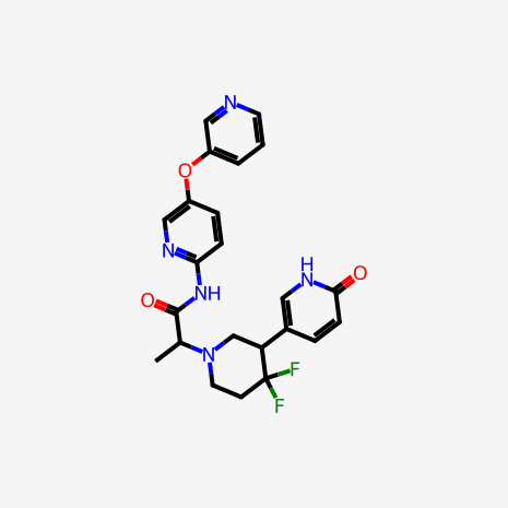 CC(C(=O)Nc1ccc(Oc2cccnc2)cn1)N1CCC(F)(F)C(c2ccc(=O)[nH]c2)C1